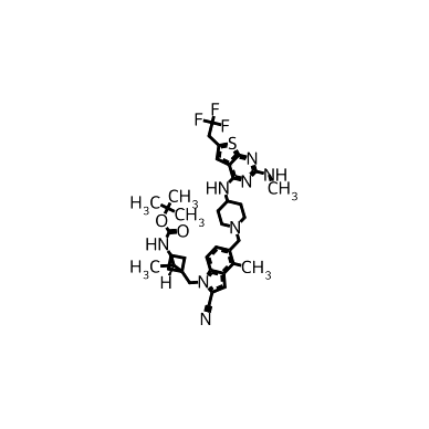 CNc1nc(NC2CCN(Cc3ccc4c(cc(C#N)n4CC45CC(NC(=O)OC(C)(C)C)(C4)[C@H]5C)c3C)CC2)c2cc(CC(F)(F)F)sc2n1